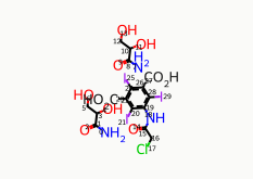 NC(=O)C(O)CO.NC(=O)C(O)CO.O=C(CCl)Nc1c(I)c(C(=O)O)c(I)c(C(=O)O)c1I